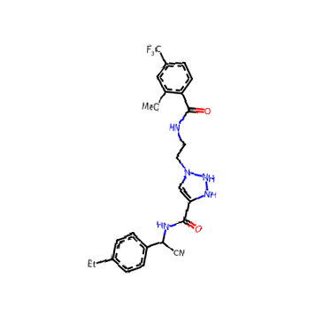 CCc1ccc(C(C#N)NC(=O)C2=CN(CCNC(=O)c3ccc(C(F)(F)F)cc3OC)NN2)cc1